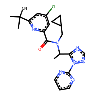 CC(c1ncnn1-c1ncccn1)N(CC1CC1)C(=O)c1cc(Cl)cc(C(C)(C)C#N)n1